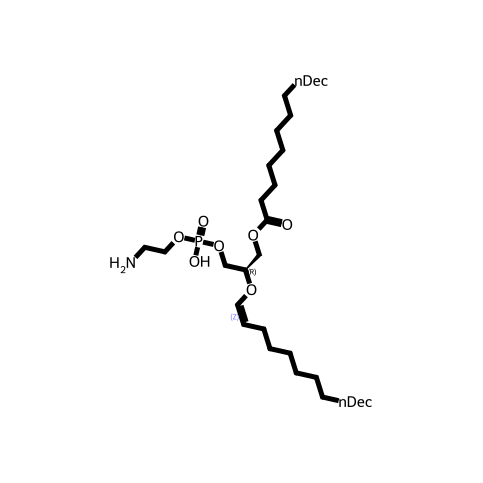 CCCCCCCCCCCCCCCC/C=C\O[C@H](COC(=O)CCCCCCCCCCCCCCCCC)COP(=O)(O)OCCN